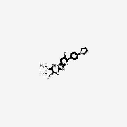 CC(Oc1nc2nc(-c3ccc(N4CCCC4)cc3)c(Cl)cc2[nH]1)C(=O)N(C)C